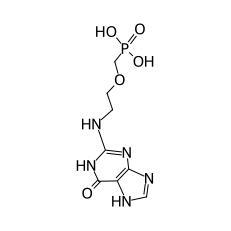 O=c1[nH]c(NCCOCP(=O)(O)O)nc2nc[nH]c12